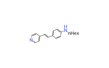 CCCCCCNc1ccc(C=Cc2ccncc2)cc1